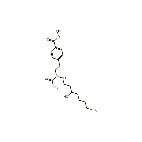 CCCCCC(O)CCNN(CCc1ccc(C(=O)OC)cc1)C(C)=O